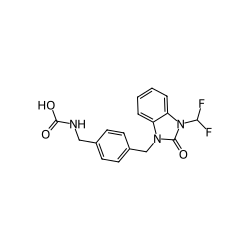 O=C(O)NCc1ccc(Cn2c(=O)n(C(F)F)c3ccccc32)cc1